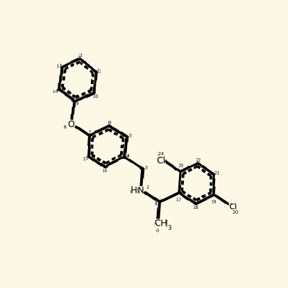 CC(NCc1ccc(Oc2ccccc2)cc1)c1cc(Cl)ccc1Cl